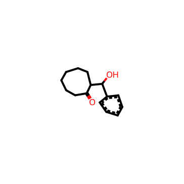 O=C1CCCCCCC1C(O)c1ccccc1